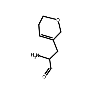 NC([C]=O)CC1=CCCOC1